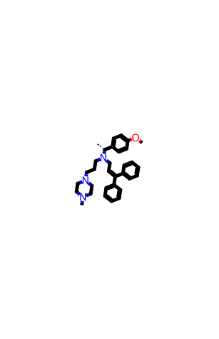 COc1ccc([C@@H](C)N(CC=C(c2ccccc2)c2ccccc2)CCCN2CCN(C)CC2)cc1